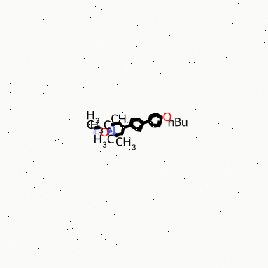 C/C=C/ON1C(C)(C)CC(c2ccc(-c3ccc(OCCCC)cc3)cc2)CC1(C)C